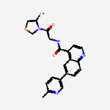 Cc1ccc(-c2ccc3nccc(C(=O)NCC(=O)N4CSCC4C#N)c3c2)cn1